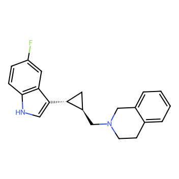 Fc1ccc2[nH]cc([C@@H]3C[C@H]3CN3CCc4ccccc4C3)c2c1